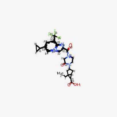 CCC12CC(N3CCN(C(=O)c4cn5cc(C6CC6)cc(C(F)(F)F)c5n4)CC3=O)CC1C2C(=O)O